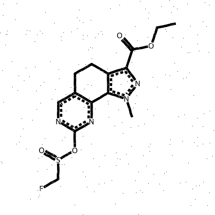 CCOC(=O)c1nn(C)c2c1CCc1cnc(OS(=O)CF)nc1-2